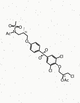 CC(=O)O[C@H](CCl)COc1c(Cl)cc(S(=O)(=O)c2ccc(OC[C@@H](C)CN(C(C)=O)S(C)(=O)=O)cc2)cc1Cl